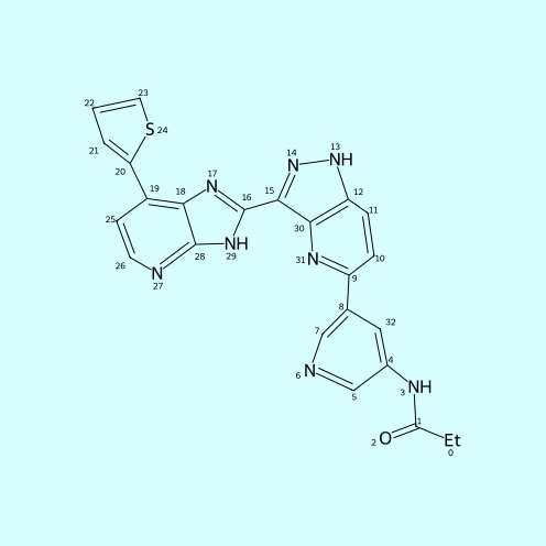 CCC(=O)Nc1cncc(-c2ccc3[nH]nc(-c4nc5c(-c6cccs6)ccnc5[nH]4)c3n2)c1